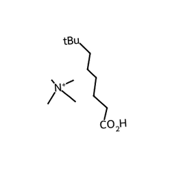 CC(C)(C)CCCCCC(=O)O.C[N+](C)(C)C